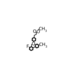 CCOC(=O)CCc1ccc(OCc2c(F)cccc2-c2ccc(C)cc2)cc1